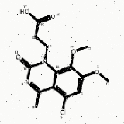 COc1cc(Cl)c2c(C)nc(=O)n(CCC(=O)O)c2c1OC